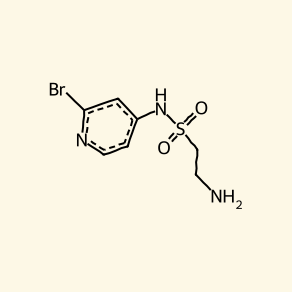 NCCS(=O)(=O)Nc1ccnc(Br)c1